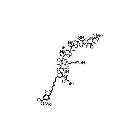 CC[C@H](NC(=O)C(C[C@H](C)CCCCCCNCc1ccc(C(=O)OC)cc1)N(C)C(=O)CC(C)C)C(=O)N(C)[C@H](CSCCCCO)C(=O)N(C)[C@@H](CC(C)C)C(=O)N[C@H](C(=O)N(C)[C@@H](CC(C)C)C(=O)N[C@H](C)C(=O)N(N)C(C)C(=O)N(C)[C@@H](CC(C)C)C(=O)N(C)CC(=O)NC)C(C)C